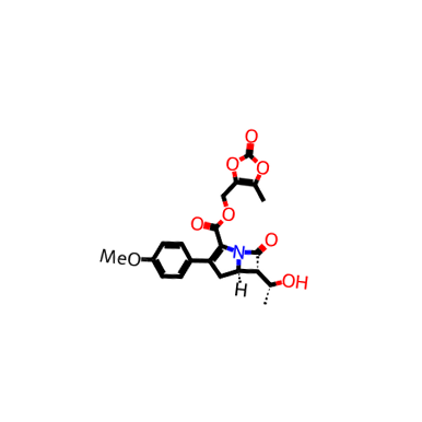 COc1ccc(C2=C(C(=O)OCc3oc(=O)oc3C)N3C(=O)[C@H]([C@@H](C)O)[C@H]3C2)cc1